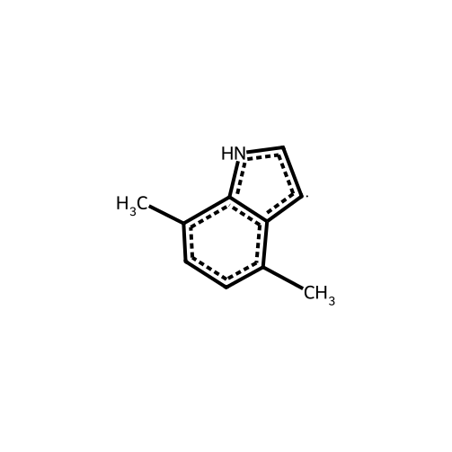 Cc1ccc(C)c2[nH]c[c]c12